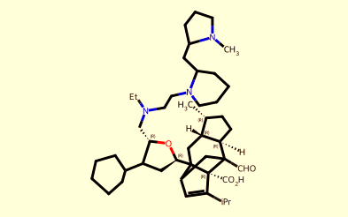 CCN(CCN1CCCCC1CC1CCCN1C)C[C@@H]1O[C@@H](C23C[C@@H]4[C@H](C)CC[C@H]4C4(C=O)CC2C=C(C(C)C)[C@]43C(=O)O)CC1C1CCCCC1